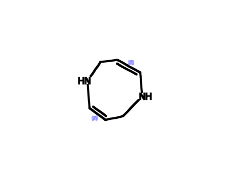 C1=C\NC/C=C\NC/1